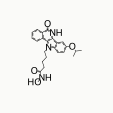 CC(C)Oc1ccc2c(c1)c1[nH]c(=O)c3ccccc3c1n2CCCCC(=O)NO